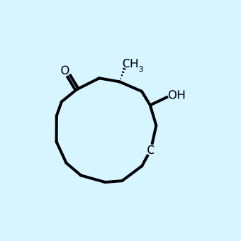 C[C@H]1CC(=O)CCCCCCCCCCC(O)C1